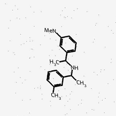 CNc1cccc(C(C)NC(C)c2cccc(C)c2)c1